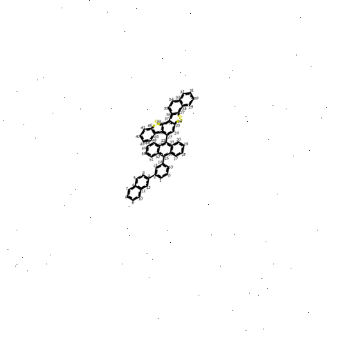 c1cc(-c2ccc3ccccc3c2)cc(-c2c3ccccc3c(-c3cc4sc5c6ccccc6ccc5c4c4sc5ccccc5c34)c3ccccc23)c1